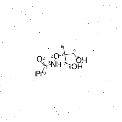 CC(C)C(=O)NOC(C)(CO)CO